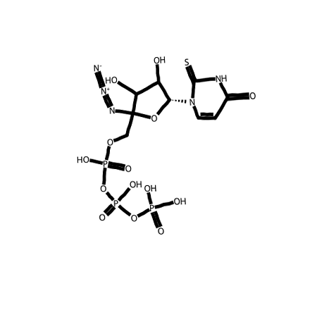 [N-]=[N+]=NC1(COP(=O)(O)OP(=O)(O)OP(=O)(O)O)O[C@@H](n2ccc(=O)[nH]c2=S)C(O)C1O